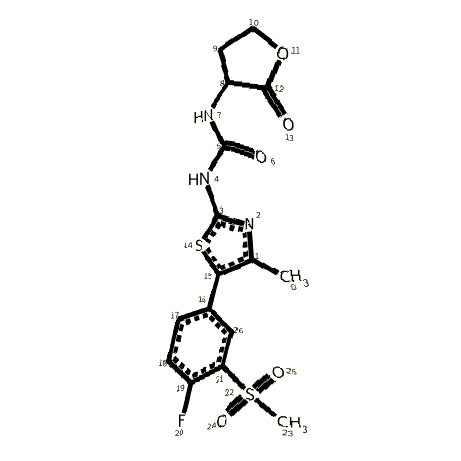 Cc1nc(NC(=O)NC2CCOC2=O)sc1-c1ccc(F)c(S(C)(=O)=O)c1